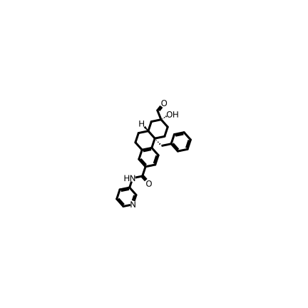 O=C[C@@]1(O)CC[C@@]2(Cc3ccccc3)c3ccc(C(=O)Nc4cccnc4)cc3CC[C@@H]2C1